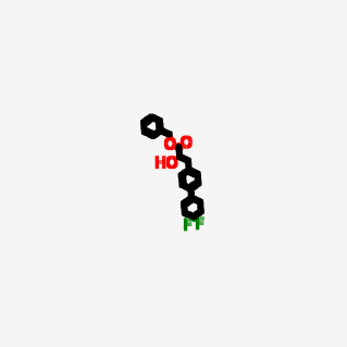 O=C(OCc1ccccc1)[C@H](O)Cc1ccc(C2=CCC(F)(F)CC2)cc1